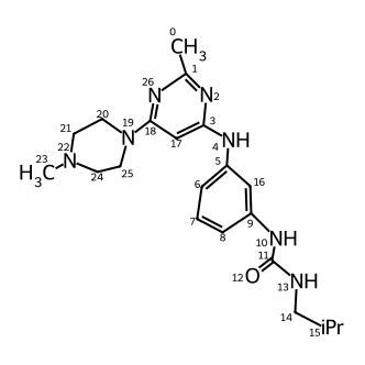 Cc1nc(Nc2cccc(NC(=O)NCC(C)C)c2)cc(N2CCN(C)CC2)n1